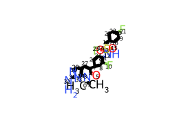 CC(C)n1c(=O)c(-c2cc(F)c(NS(=O)(=O)Cc3ccc(F)cc3)c(F)c2)cc2cnc(N)nc21